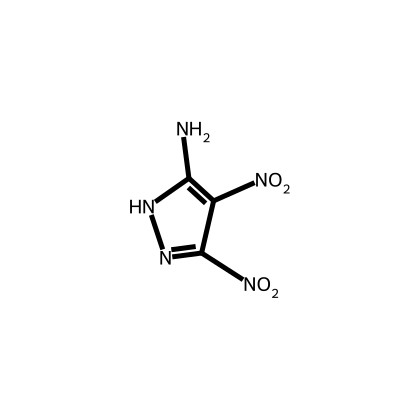 Nc1[nH]nc([N+](=O)[O-])c1[N+](=O)[O-]